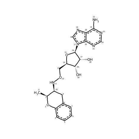 C[C@@H]1Oc2ccccc2C[C@@H]1NOC[C@H]1O[C@@H](n2cnc3c(N)ncnc32)[C@H](O)[C@@H]1O